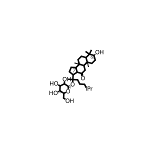 CC(C)CCCC(C)(O[C@@H]1OC(CO)[C@@H](O)C(O)C1O)C1CC[C@]2(C)C1C(=O)CC1[C@@]3(C)CC[C@H](O)C(C)(C)C3CC[C@]12C